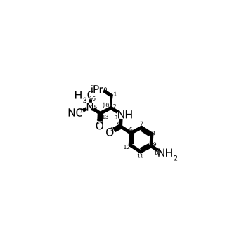 CC(C)C[C@@H](NC(=O)c1ccc(N)cc1)C(=O)N(C)C#N